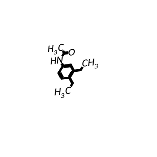 CCc1ccc(NC(C)=O)cc1CC